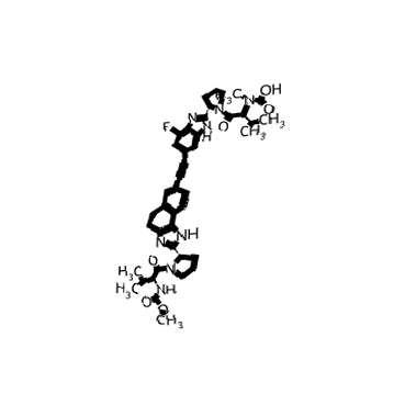 COC(=O)N[C@H](C(=O)N1CCC[C@H]1c1nc2c([nH]1)-c1ccc(C#Cc3cc(F)c4nc([C@@H]5CCCN5C(=O)[C@H](C(C)C)N(C)C(=O)O)[nH]c4c3)cc1CC2)C(C)C